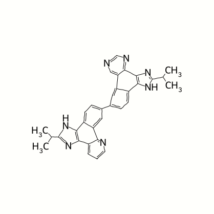 CC(C)c1nc2c3cccnc3c3cc(-c4ccc5c(c4)c4cncnc4c4nc(C(C)C)[nH]c54)ccc3c2[nH]1